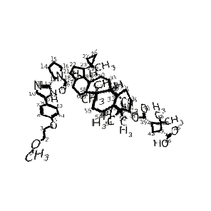 COCCOc1ccc(-c2cnc([C@@H]3CCCN3C(=O)[C@]34CC[C@@H](C5(C)CC5)[C@@H]3[C@H]3CC[C@@H]5[C@@]6(C)CC[C@H](OC(=O)[C@H]7C[C@@H](C(=O)O)C7(C)C)C(C)(C)[C@@H]6CC[C@@]5(C)[C@]3(C)CC4)[nH]2)cc1